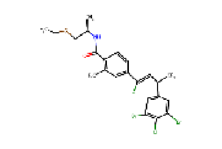 C[C@H](CSCC(F)(F)F)NC(=O)c1ccc(/C(F)=C/C(c2cc(Br)c(Cl)c(Br)c2)C(F)(F)F)cc1C(F)(F)F